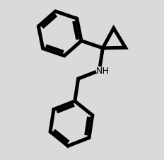 [c]1ccc(CNC2(c3ccccc3)CC2)cc1